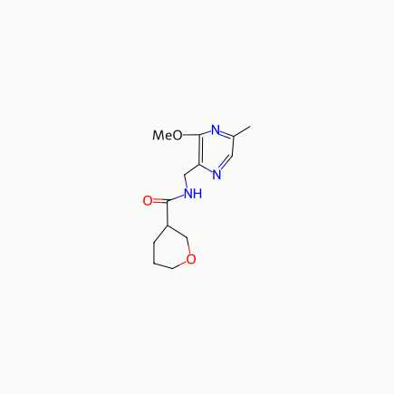 COc1nc(C)cnc1CNC(=O)C1CCCOC1